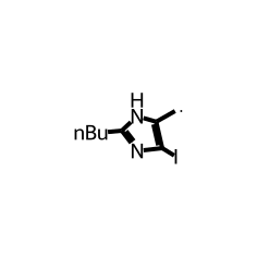 [CH2]c1[nH]c(CCCC)nc1I